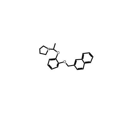 CC(Oc1ccccc1OCc1ccc2ccccc2c1)N1CCCC1